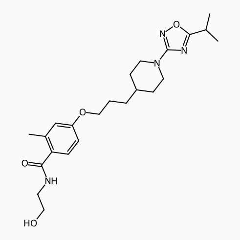 Cc1cc(OCCCC2CCN(c3noc(C(C)C)n3)CC2)ccc1C(=O)NCCO